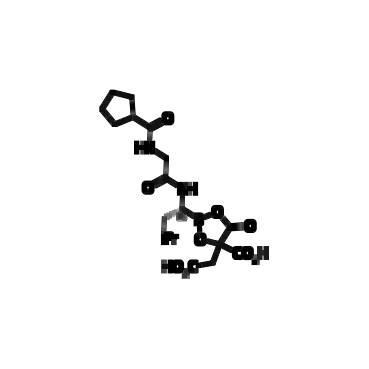 CC(C)C[C@H](NC(=O)CNC(=O)C1CCCC1)B1OC(=O)C(CC(=O)O)(C(=O)O)O1